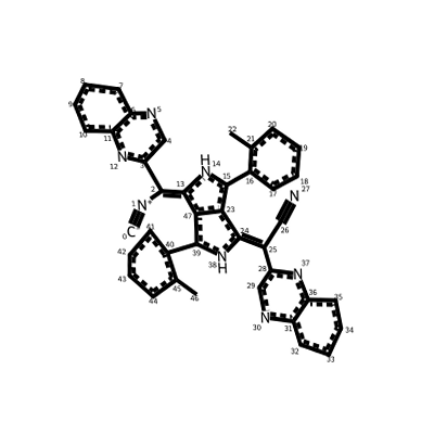 [C-]#[N+]/C(c1cnc2ccccc2n1)=c1/[nH]c(-c2ccccc2C)c2/c(=C(\C#N)c3cnc4ccccc4n3)[nH]c(-c3ccccc3C)c12